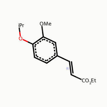 CCOC(=O)/C=C/c1ccc(OC(C)C)c(OC)c1